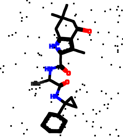 CCCCC(NC(=O)c1[nH]c2c(c1C)C(=O)CC(C)(C)C2)C(=O)NC1(c2ccccc2)CC1